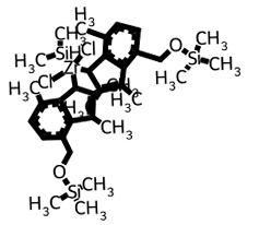 CC1=C(C)[CH]([Zr]([Cl])([Cl])([CH]2C(C)=C(C)c3c(CO[Si](C)(C)C)ccc(C)c32)[SiH](C)C)c2c(C)ccc(CO[Si](C)(C)C)c21